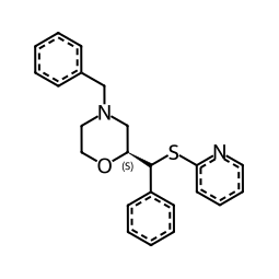 c1ccc(CN2CCO[C@H](C(Sc3ccccn3)c3ccccc3)C2)cc1